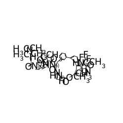 CO[C@@H](C)c1ncccc1-c1c2c3cc(ccc3n1CC(F)(F)F)-c1cccc(c1)C[C@H](NC(=O)C(C(C)C)N1CC[C@]3(CCN(C(=O)C#CC(C)(C)N(C)C)C3)C1=O)C(=O)N1CCC[C@H](N1)C(=O)OCC(C)(C)C2